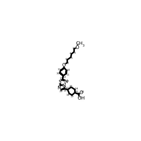 COCCCCCCOc1ccc(-c2nn3c(C4CCC(C(=O)O)CC4)cnc3s2)cc1